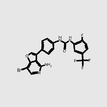 Nc1ncc(Br)c2occ(-c3ccc(NC(=O)Nc4cc(C(F)(F)F)ccc4F)cc3)c12